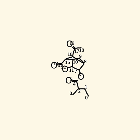 CCC(C)C(=O)OC1C2CC3C1OC(=O)C3C2C(C)=O